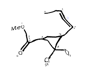 C/C=C\C1C(C(=O)OC)C1(Cl)Cl